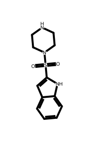 O=S(=O)(c1cc2ccccc2[nH]1)N1CCNCC1